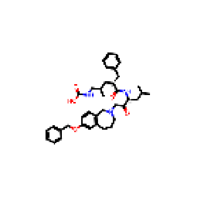 CC(C)C[C@H](NC(=O)[C@H](Cc1ccccc1)CC(C)CNC(=O)O)C(=O)CN1CCCc2cc(OCc3ccccc3)ccc2C1